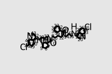 O=C(c1ccccc1)N(CCCCN(CCCNc1ccnc2cc(Cl)ccc12)C(=O)c1ccccc1)CCCNc1ccnc2cc(Cl)ccc12